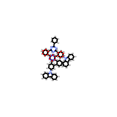 c1ccc(-c2nc(-c3ccccc3)nc(-c3ccc(-n4c5ccccc5c5ccccc54)cc3-c3ccccc3-c3ccccc3-c3cc(-n4c5ccccc5c5ccccc54)ccc3-c3nc(-c4ccccc4)nc(-c4ccccc4)n3)n2)cc1